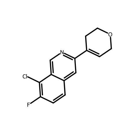 Fc1ccc2cc(C3=CCOCC3)ncc2c1Cl